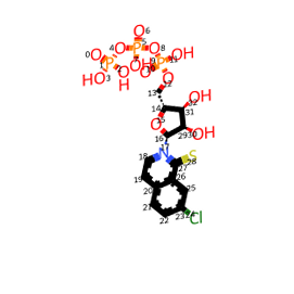 O=P(O)(O)OP(=O)(O)OP(=O)(O)OC[C@H]1O[C@@H](n2ccc3ccc(Cl)cc3c2=S)[C@H](O)[C@@H]1O